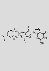 C=C(C)[C@@H]1CC[C@]2(C)S[P@@](=S)(O[C@H]3[C@@H](F)[C@H](n4cnc5c(=O)[nH]c(O)nc54)O[C@@H]3CC)O[C@H]2C1